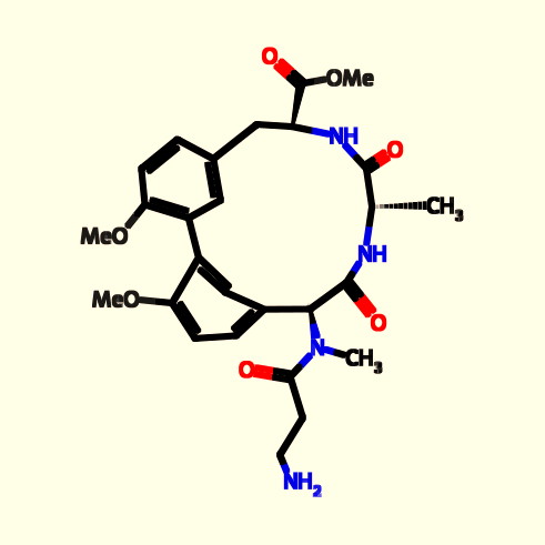 COC(=O)[C@@H]1Cc2ccc(OC)c(c2)-c2cc(ccc2OC)[C@H](N(C)C(=O)CCN)C(=O)N[C@@H](C)C(=O)N1